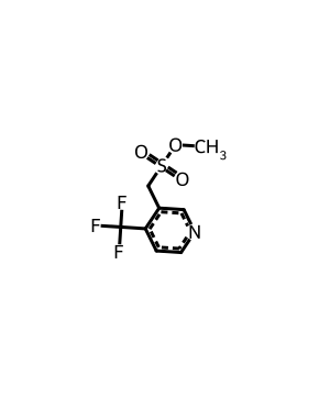 COS(=O)(=O)Cc1cnccc1C(F)(F)F